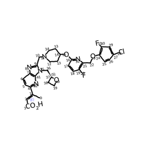 C/C(=C\C(=O)O)c1ccc2nc(CN3CCC(Oc4ccc(F)c(COc5ccc(Cl)cc5F)n4)CC3)n(C[C@@H]3CCO3)c2n1